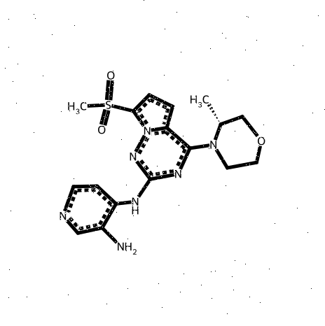 C[C@@H]1COCCN1c1nc(Nc2ccncc2N)nn2c(S(C)(=O)=O)ccc12